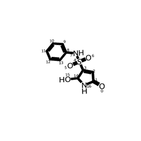 O=C1C=C(S(=O)(=O)Nc2ccccc2)C(O)N1